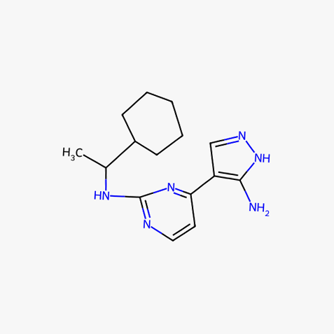 CC(Nc1nccc(-c2cn[nH]c2N)n1)C1CCCCC1